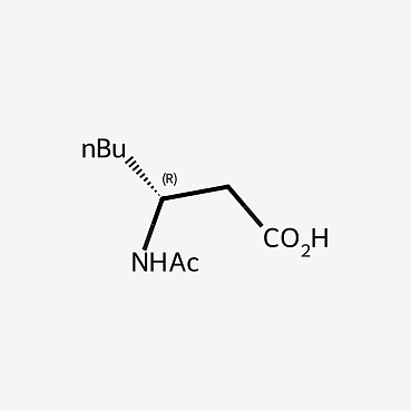 CCCC[C@H](CC(=O)O)NC(C)=O